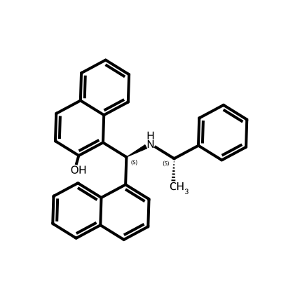 C[C@H](N[C@@H](c1cccc2ccccc12)c1c(O)ccc2ccccc12)c1ccccc1